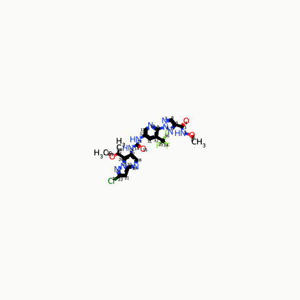 CONC(=O)c1cnn(-c2ncc(NC(=O)Nc3cnc4cc(Cl)nn4c3[C@H](C)OC)cc2C(F)(F)F)n1